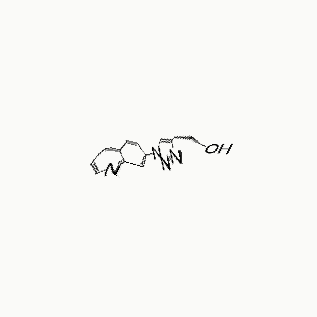 OCc1cn(-c2ccc3cccnc3c2)nn1